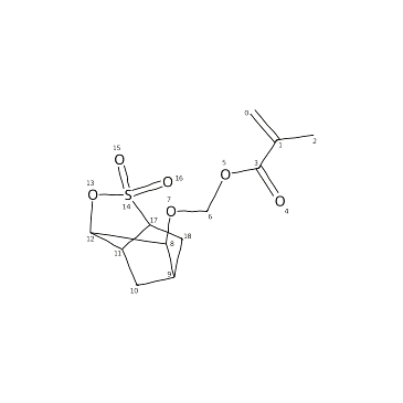 C=C(C)C(=O)OCOC1C2CC3C1OS(=O)(=O)C3C2